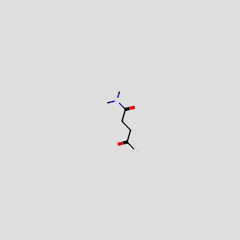 CCCC(=O)CCC(=O)N(C)C